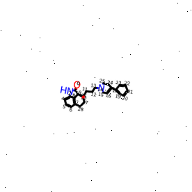 O=C1Nc2cccc3c2C1(CCCCN1CC=C(c2ccccc2)CC1)CCC3